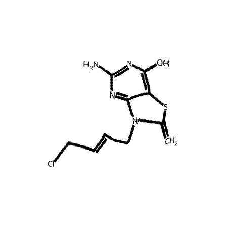 C=C1Sc2c(O)nc(N)nc2N1C/C=C/CCl